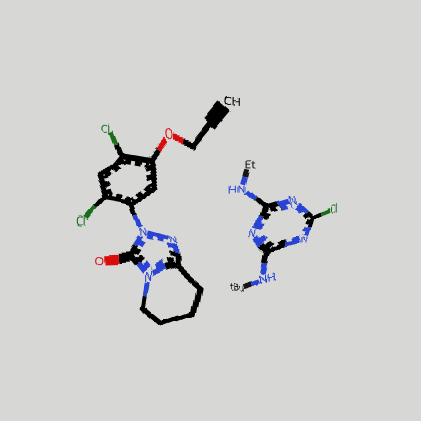 C#CCOc1cc(-n2nc3n(c2=O)CCCC3)c(Cl)cc1Cl.CCNc1nc(Cl)nc(NC(C)(C)C)n1